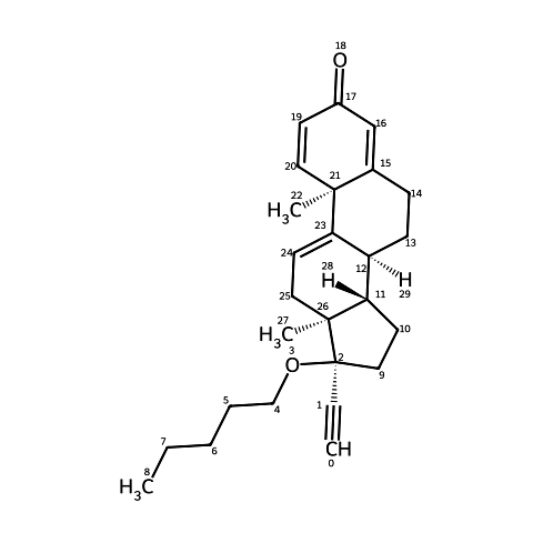 C#C[C@@]1(OCCCCC)CC[C@H]2[C@@H]3CCC4=CC(=O)C=C[C@]4(C)C3=CC[C@@]21C